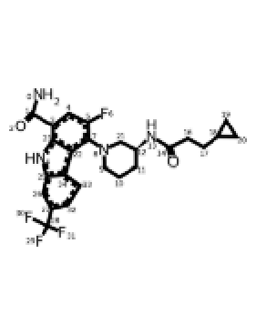 NC(=O)c1cc(F)c(N2CCC[C@H](NC(=O)CCC3CC3)C2)c2c1[nH]c1cc(C(F)(F)F)ccc12